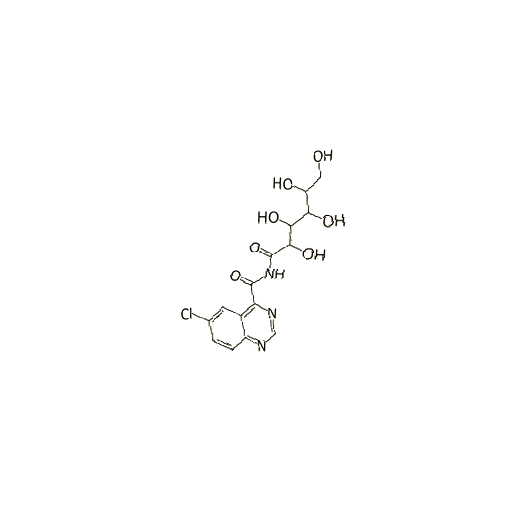 O=C(NC(=O)C(O)C(O)C(O)C(O)CO)c1ncnc2ccc(Cl)cc12